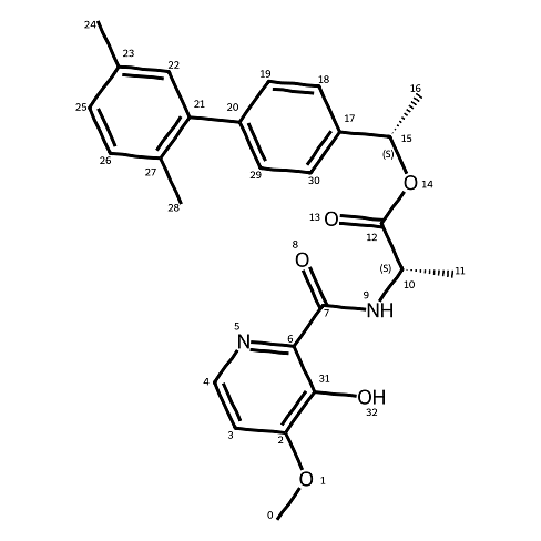 COc1ccnc(C(=O)N[C@@H](C)C(=O)O[C@@H](C)c2ccc(-c3cc(C)ccc3C)cc2)c1O